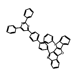 c1ccc(-c2cc(-c3ccc(-c4ccc(-c5nc6ccccc6c6oc7c8ccccc8n(-c8ccccc8)c7c56)cc4)cc3)nc(-c3ccccc3)n2)cc1